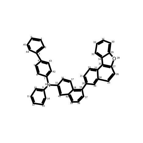 c1ccc(-c2ccc(N(c3ccccc3)c3ccc4c(-c5ccc6c(ccc7oc8ccccc8c76)c5)cccc4c3)cc2)cc1